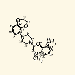 CN(CCN1CCN(c2cccc3c2OCCO3)CC1)c1ccnn(C)c1=O